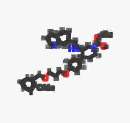 COc1ccccc1COCCCOc1ccc(C2CCN(C(=O)OC(C)(C)C)CC2NCc2ccc3cccnc3c2)cc1